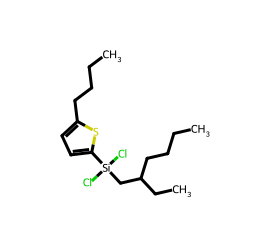 CCCCc1ccc([Si](Cl)(Cl)CC(CC)CCCC)s1